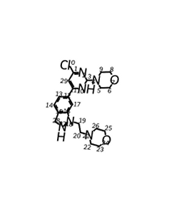 ClC1=NC(N2CCOCC2)NC(c2ccc3c(c2)N(CCN2CCOCC2)NC3)=C1